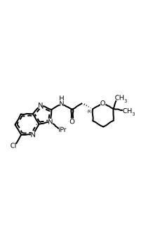 CC(C)n1c(NC(=O)C[C@H]2CCCC(C)(C)O2)nc2ccc(Cl)nc21